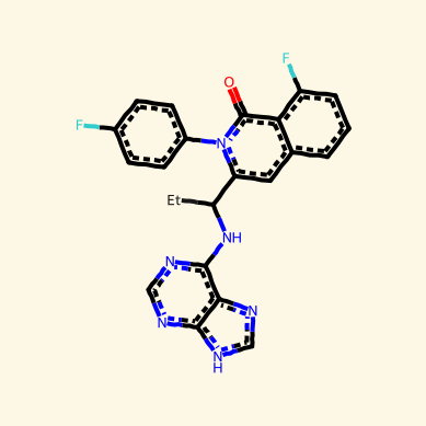 CCC(Nc1ncnc2[nH]cnc12)c1cc2cccc(F)c2c(=O)n1-c1ccc(F)cc1